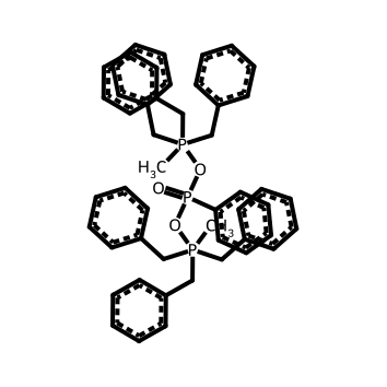 CP(Cc1ccccc1)(Cc1ccccc1)(Cc1ccccc1)OP(=O)(OP(C)(Cc1ccccc1)(Cc1ccccc1)Cc1ccccc1)c1ccccc1